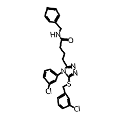 O=C(CCCc1nnc(SCc2cccc(Cl)c2)n1-c1cccc(Cl)c1)NCc1ccccc1